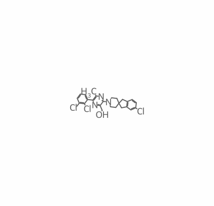 Cc1nc(N2CCC3(CC2)Cc2ccc(Cl)cc2C3)c(CO)nc1-c1cccc(Cl)c1Cl